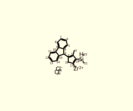 CC1=C(C2c3ccccc3-c3ccccc32)C[C]([Zr+2])=C1[SiH](C)C.[Cl-].[Cl-]